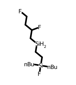 CCCC[Si](F)(CCCC)CC[SiH2]CC(F)CCF